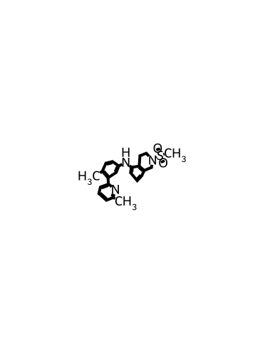 Cc1cccc(-c2cc(Nc3cccc4c3CCN(S(C)(=O)=O)C4)ccc2C)n1